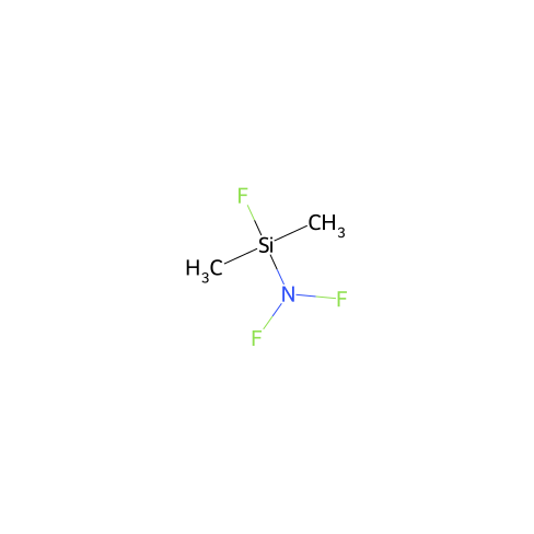 C[Si](C)(F)N(F)F